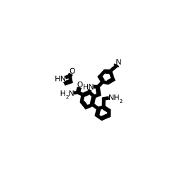 N#Cc1ccc(-c2cc3c(-c4ccccc4CN)ccc(C(N)=O)c3[nH]2)cc1.O=C1C=CN1